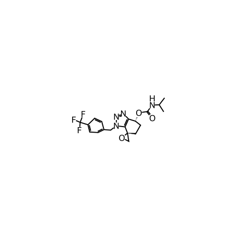 CC(C)NC(=O)O[C@@H]1CC[C@]2(CO2)c2c1nnn2Cc1ccc(C(F)(F)F)cc1